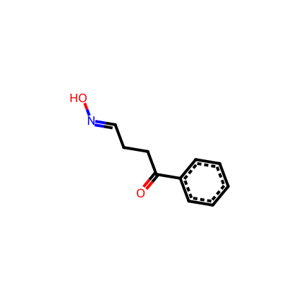 O=C(CCC=NO)c1ccccc1